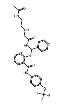 CC(=O)NCCNCC(=O)NC(Sc1ncccc1C(=O)Nc1ccc(OC(F)(F)F)cc1)c1ccncc1